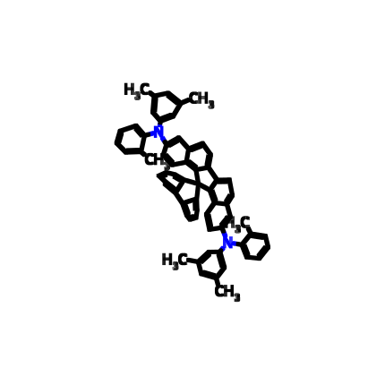 Cc1cc(C)cc(N(c2ccc3c4c(ccc3c2)-c2ccc3cc(N(c5cc(C)cc(C)c5)c5ccccc5C)ccc3c2C42c3ccccc3-c3ccccc32)c2ccccc2C)c1